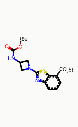 CCOC(=O)c1cccc2nc(N3CC(NC(=O)OC(C)(C)C)C3)sc12